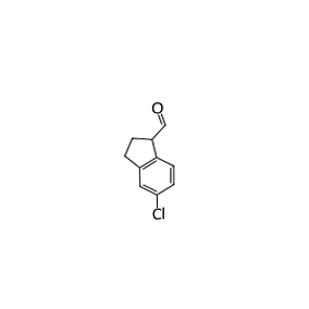 O=CC1CCc2cc(Cl)ccc21